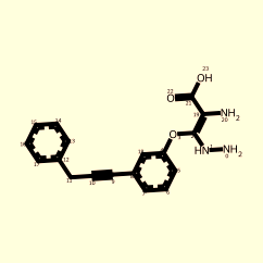 NN/C(Oc1cccc(C#CCc2ccccc2)c1)=C(\N)C(=O)O